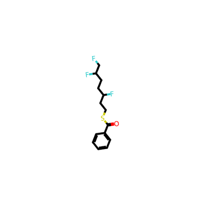 O=C(SCCC(F)CCC(F)CF)c1ccccc1